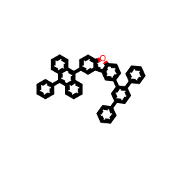 c1ccc(-c2ccc(-c3ccccc3)c(-c3ccc4oc5ccc(-c6c7ccccc7c(-c7ccccc7)c7ccccc67)cc5c4c3)c2)cc1